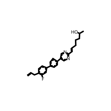 C=CCc1ccc(-c2ccc(-c3cnc(/C=C/CCCC(C)O)nc3)cc2)cc1F